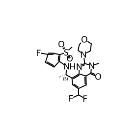 C[C@H](Nc1ccc(F)cc1S(C)(=O)=O)c1cc(C(F)F)cc2c(=O)n(C)c(N3CCOCC3)nc12